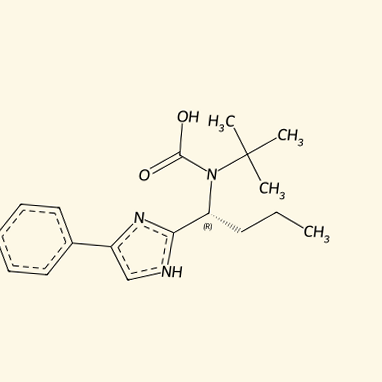 CCC[C@H](c1nc(-c2ccccc2)c[nH]1)N(C(=O)O)C(C)(C)C